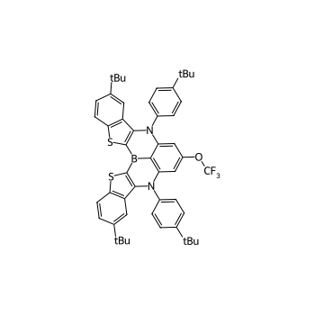 CC(C)(C)c1ccc(N2c3cc(OC(F)(F)F)cc4c3B(c3sc5ccc(C(C)(C)C)cc5c32)c2sc3ccc(C(C)(C)C)cc3c2N4c2ccc(C(C)(C)C)cc2)cc1